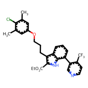 CCOC(=O)c1[nH]c2c(-c3cnccc3C(F)(F)F)cccc2c1CCCOc1cc(C)c(Cl)c(C)c1